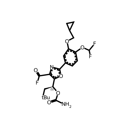 CC(C)(C)C[C@H](OC(N)=O)c1oc(-c2ccc(OC(F)F)c(OCC3CC3)c2)nc1C(=O)F